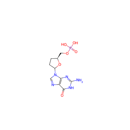 Nc1nc2c(ncn2C2CC[C@@H](COP(=O)(O)O)O2)c(=O)[nH]1